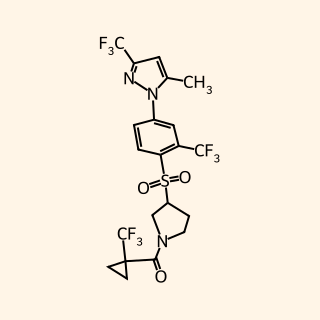 Cc1cc(C(F)(F)F)nn1-c1ccc(S(=O)(=O)C2CCN(C(=O)C3(C(F)(F)F)CC3)C2)c(C(F)(F)F)c1